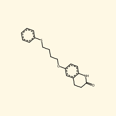 O=C1CCc2cc(OCCCCSc3ccccc3)ccc2N1